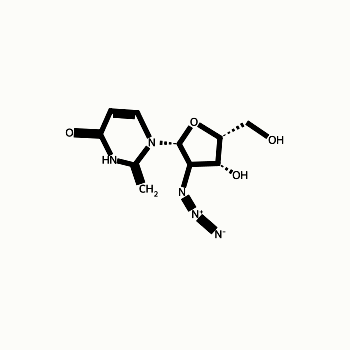 C=C1NC(=O)C=CN1[C@@H]1O[C@H](CO)[C@H](O)C1N=[N+]=[N-]